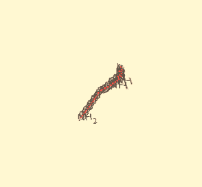 NCCOCCOCCOCCOCCOCCOCCOCCOCCOCCOCCOCCNC(=O)CCCC(=O)Nc1ccc(-c2nnc(-c3ccccn3)nn2)nc1